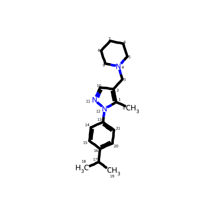 Cc1c(CN2CCCCC2)cnn1-c1ccc(C(C)C)cc1